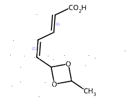 CC1OC(/C=C\C=C\C(=O)O)O1